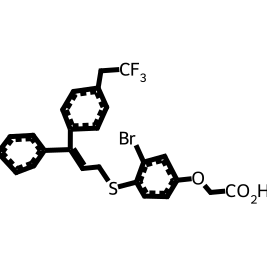 O=C(O)COc1ccc(SCC=C(c2ccccc2)c2ccc(CC(F)(F)F)cc2)c(Br)c1